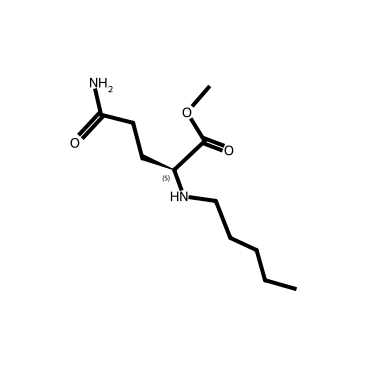 CCCCCN[C@@H](CCC(N)=O)C(=O)OC